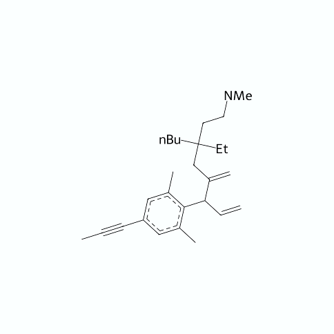 C=CC(C(=C)CC(CC)(CCCC)CCNC)c1c(C)cc(C#CC)cc1C